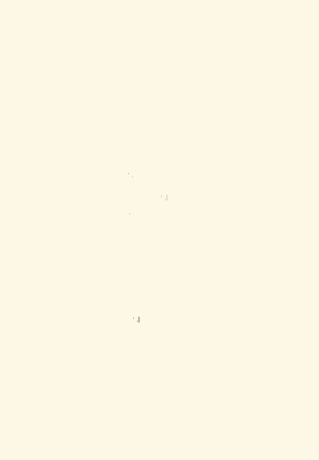 CC(=O)Nc1nc(-c2ccc(N)cc2)c(C)[nH]1